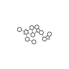 c1ccc(-c2cccc(-c3nc(-c4ccccc4)nc(-c4ccccc4-c4ccccc4-n4c5ccccc5c5ccc(-c6cccc7oc8ccccc8c67)cc54)n3)c2)cc1